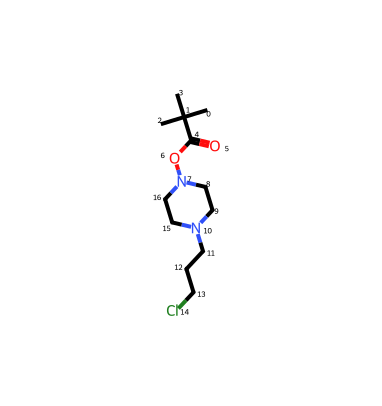 CC(C)(C)C(=O)ON1CCN(CCCCl)CC1